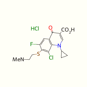 CNCCSc1c(F)cc2c(=O)c(C(=O)O)cn(C3CC3)c2c1Cl.Cl